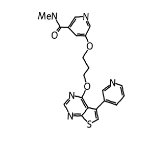 CNC(=O)c1cncc(OCCCOc2ncnc3scc(-c4cccnc4)c23)c1